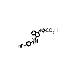 CCCc1ccc(-c2nc(-c3ccc(CN4CC(C(=O)O)C4)c4ccccc34)no2)cc1